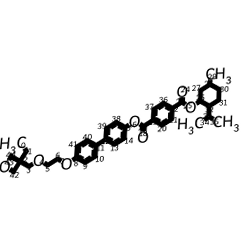 CCC1(COCCOc2ccc(-c3ccc(OC(=O)c4ccc(C(=O)OC5CC(C)CCC5C(C)C)cc4)cc3)cc2)COC1